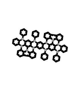 c1ccc(N2c3ccccc3B3c4c2cc2c5c4-n4c6c3cccc6c3cccc(c34)B5c3cc4c(cc3N2c2ccccc2)B2c3c(cc5c6c3-n3c7c(cccc7c7cccc2c73)B6c2ccccc2N5c2ccccc2)N4c2ccccc2)cc1